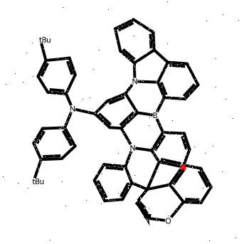 CC(C)(C)c1ccc(N(c2ccc(C(C)(C)C)cc2)c2cc3c4c(c2)-n2c5ccccc5c5cccc(c52)B4c2cccc4c2N3c2ccccc2C42c3ccccc3Oc3ccccc32)cc1